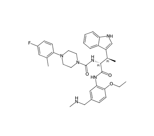 CCOc1ccc(CNC)cc1NC(=O)[C@H](NC(=O)N1CCN(c2ccc(F)cc2C)CC1)[C@H](C)c1c[nH]c2ccccc12